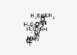 COc1ccc(-n2c(CCNCCc3nc(C(=O)NCc4ncccc4F)co3)nc3cc(OC)c(OC)cc32)cc1OC